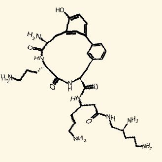 NCCCC(CC(=O)NC[C@@H](N)CCCN)NC(=O)[C@@H]1Cc2cccc(c2)-c2ccc(O)c(c2)C[C@H](N)C(=O)N[C@@H](CCCN)C(=O)N1